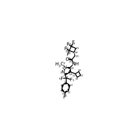 Cn1nc(C(F)(F)c2ccc(F)cc2)c(C2CCC2)c1NC(=O)C[C@@H]1CC(F)(F)C1(F)F